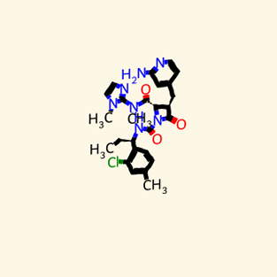 CC[C@@H](NC(=O)N1C(=O)[C@H](Cc2ccnc(N)c2)[C@H]1C(=O)N(C)c1nccn1C)c1ccc(C)cc1Cl